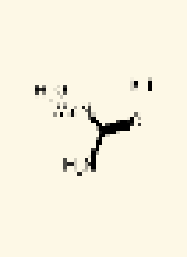 CNC(N)=O.O.[KH]